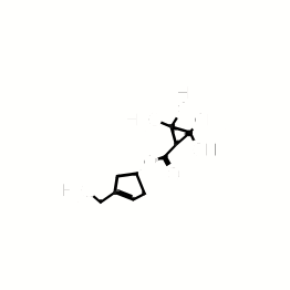 CC1(C)C(C(=O)O[C@@H]2CC=C(CC(F)(F)F)C2)C1(C)C